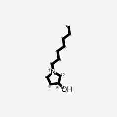 CCCCCCCN1CCC(O)C1